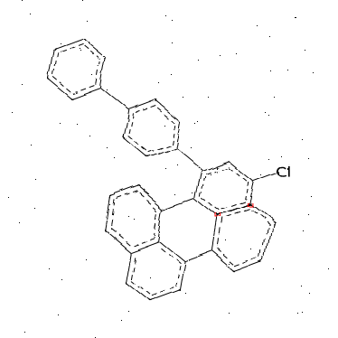 Clc1ccc(-c2cccc3cccc(-c4ccccc4)c23)c(-c2ccc(-c3ccccc3)cc2)c1